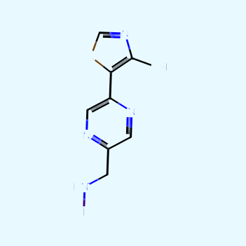 Cc1ncsc1-c1cnc(CNI)cn1